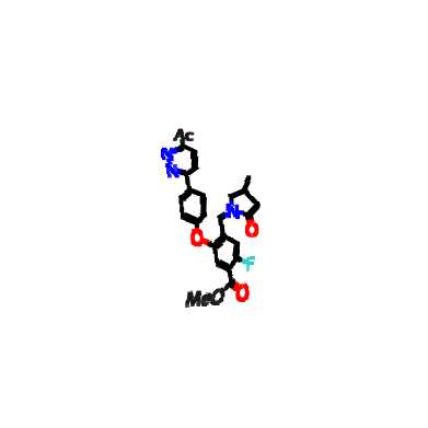 COC(=O)c1cc(Oc2ccc(-c3ccc(C(C)=O)nn3)cc2)c(CN2CC(C)CC2=O)cc1F